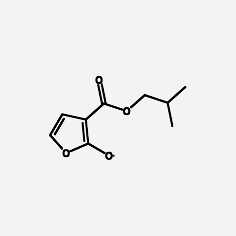 CC(C)COC(=O)c1ccoc1[O]